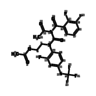 CC(=O)OCCN(C(=O)N(C(C)=O)C(=O)c1cccc(F)c1F)c1ccc(SC(F)(F)F)cc1F